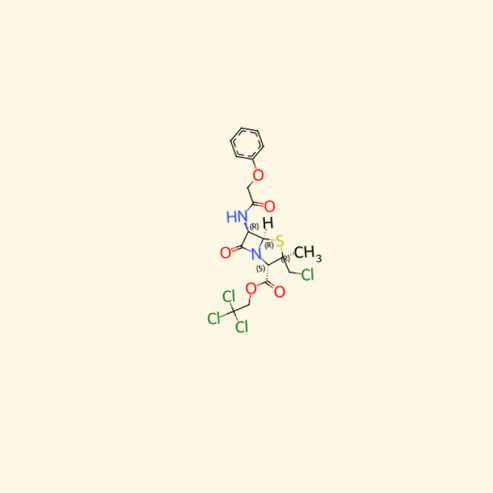 C[C@@]1(CCl)S[C@@H]2[C@H](NC(=O)COc3ccccc3)C(=O)N2[C@H]1C(=O)OCC(Cl)(Cl)Cl